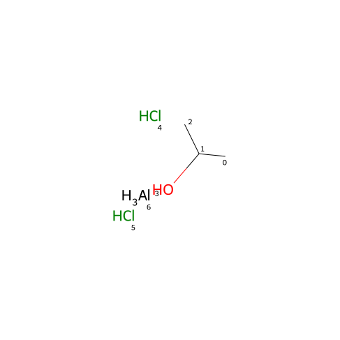 CC(C)O.Cl.Cl.[AlH3]